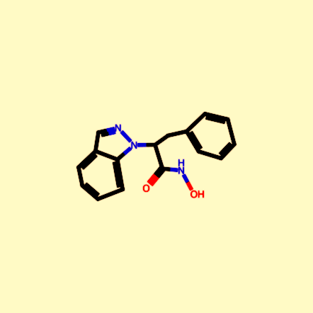 O=C(NO)C(Cc1ccccc1)n1ncc2ccccc21